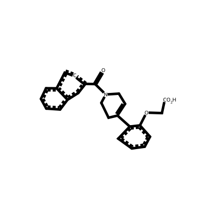 O=C(O)COc1ccccc1C1=CCN(C(=O)c2ccc3ccccc3c2)CC1